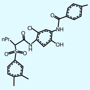 CCCC(C(=O)Nc1cc(O)c(NC(=O)c2ccc(C)cc2)cc1Cl)S(=O)(=O)c1ccc(C)c(C)c1